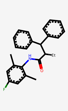 CCC(C(=O)Nc1c(C)cc(F)cc1C)C(c1ccccc1)c1ccccc1